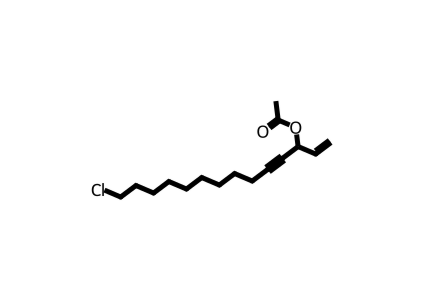 C=CC(C#CCCCCCCCCCCl)OC(C)=O